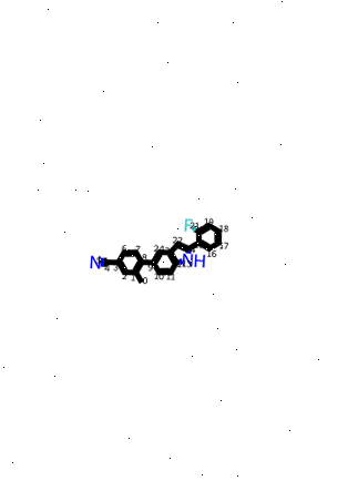 Cc1cc(C#N)ccc1-c1ccc2[nH]c(-c3ccccc3F)cc2c1